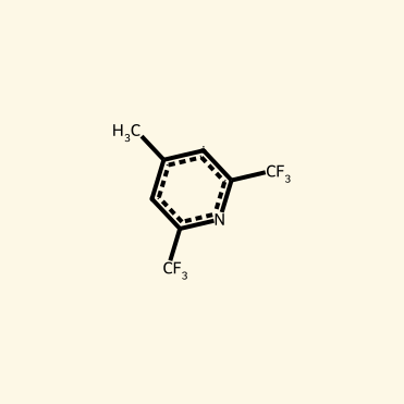 Cc1[c]c(C(F)(F)F)nc(C(F)(F)F)c1